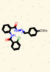 COc1ccc(/C=N/NC(=O)c2ccccc2NC(=O)c2ccccc2Cl)cc1